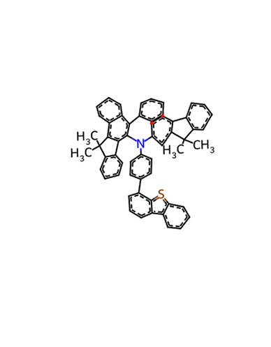 CC1(C)c2ccccc2-c2ccc(N(c3ccc(-c4cccc5c4sc4ccccc45)cc3)c3c4c(c5ccccc5c3-c3ccccc3)C(C)(C)c3ccccc3-4)cc21